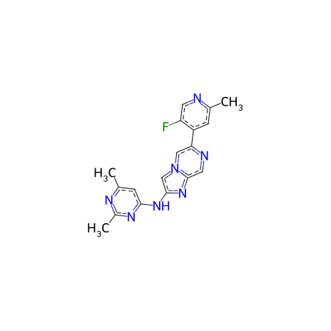 Cc1cc(-c2cn3cc(Nc4cc(C)nc(C)n4)nc3cn2)c(F)cn1